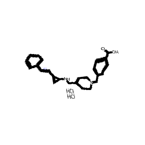 Cl.Cl.O=C(O)c1ccc(CN2CCC(CNC3CC3/C=C/c3ccccc3)CC2)cc1